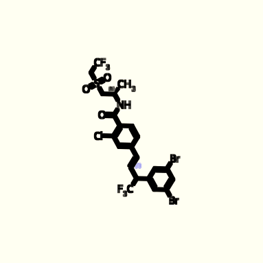 C[C@H](CS(=O)(=O)CC(F)(F)F)NC(=O)c1ccc(/C=C/C(c2cc(Br)cc(Br)c2)C(F)(F)F)cc1Cl